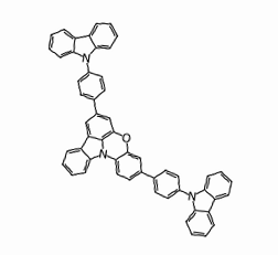 c1ccc2c(c1)c1ccccc1n2-c1ccc(-c2ccc3c(c2)Oc2cc(-c4ccc(-n5c6ccccc6c6ccccc65)cc4)cc4c5ccccc5n-3c24)cc1